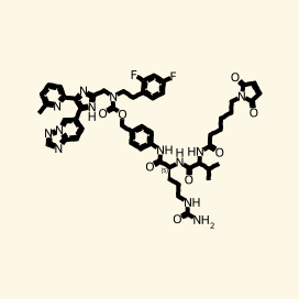 Cc1cccc(-c2nc(CN(CCc3ccc(F)cc3F)C(=O)OCc3ccc(NC(=O)[C@H](CCCNC(N)=O)NC(=O)C(NC(=O)CCCCCN4C(=O)C=CC4=O)C(C)C)cc3)[nH]c2-c2ccc3ncnn3c2)n1